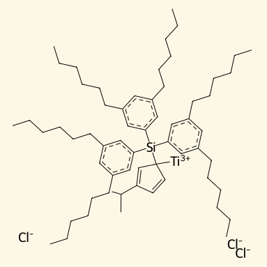 CCCCCCc1cc(CCCCCC)cc([Si](c2cc(CCCCCC)cc(CCCCCC)c2)(c2cc(CCCCCC)cc(CCCCCC)c2)[C]2([Ti+3])C=CC(C(C)C)=C2)c1.[Cl-].[Cl-].[Cl-]